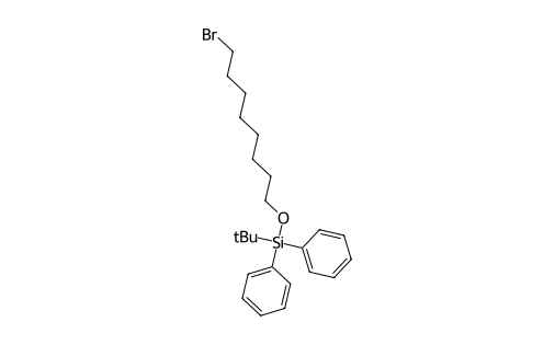 CC(C)(C)[Si](OCCCCCCCCBr)(c1ccccc1)c1ccccc1